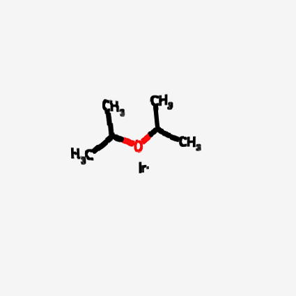 CC(C)OC(C)C.[Ir]